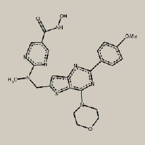 COc1ccc(-c2nc(N3CCOCC3)c3sc(CN(C)c4ncc(C(=O)NO)cn4)cc3n2)cc1